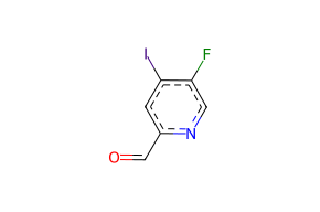 O=Cc1cc(I)c(F)cn1